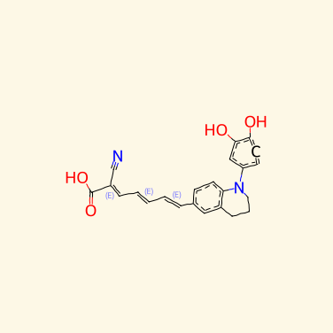 N#C\C(=C/C=C/C=C/c1ccc2c(c1)CCCN2c1ccc(O)c(O)c1)C(=O)O